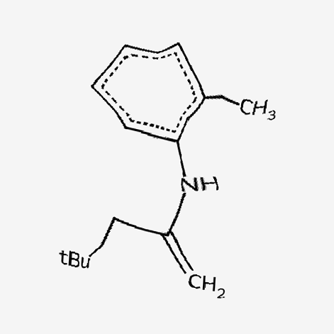 C=C(CC(C)(C)C)Nc1ccccc1C